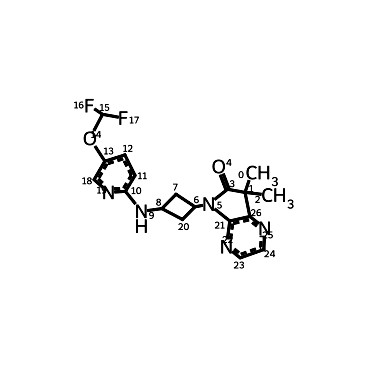 CC1(C)C(=O)N(C2CC(Nc3ccc(OC(F)F)cn3)C2)c2nccnc21